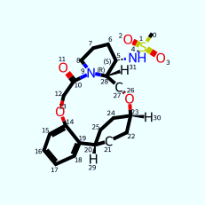 CS(=O)(=O)N[C@H]1CCCN2C(=O)COc3ccccc3[C@H]3CC[C@H](CC3)OC[C@@H]12